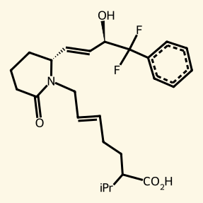 CC(C)C(CCC=CCN1C(=O)CCC[C@@H]1C=C[C@@H](O)C(F)(F)c1ccccc1)C(=O)O